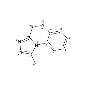 Cc1nnc2n1-c1ccccc1NC2